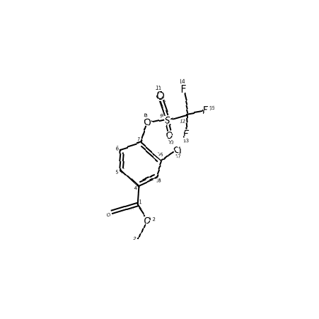 C=C(OC)c1ccc(OS(=O)(=O)C(F)(F)F)c(Cl)c1